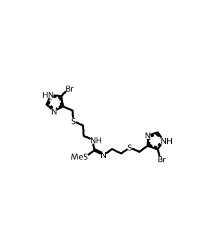 CSC(=NCCSCc1nc[nH]c1Br)NCCSCc1nc[nH]c1Br